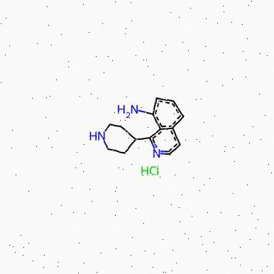 Cl.Nc1cccc2ccnc(C3CCNCC3)c12